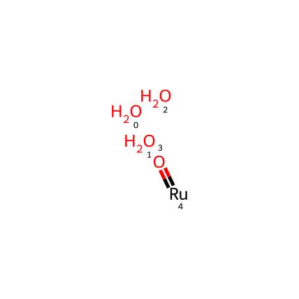 O.O.O.[O]=[Ru]